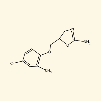 Cc1cc(Cl)ccc1OCC1CN=C(N)O1